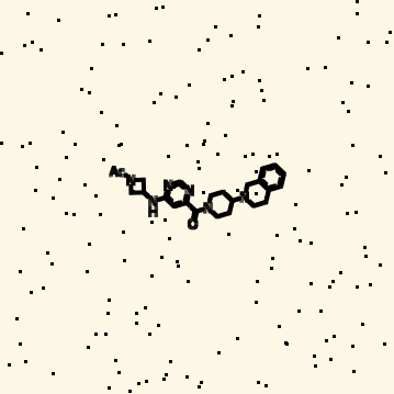 CC(=O)N1CC(Nc2cc(C(=O)N3CCC(N4CCc5ccccc5C4)CC3)ncn2)C1